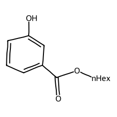 CCCCCCOC(=O)c1cccc(O)c1